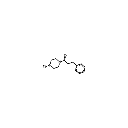 CCN1CCN(C(=O)CCc2ccccc2)CC1